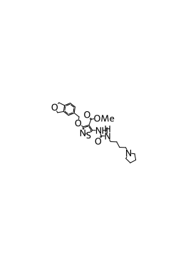 COC(=O)c1c(OCc2ccc3c(c2)COC3)nsc1NC(=O)NCCCCN1CCCC1